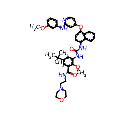 COc1cccc(Nc2cc(Oc3ccc(NC(=O)Nc4cc(C(C)(C)C)cc(C(=O)NCCN5CCOCC5)c4OC)c4ccccc34)ccn2)c1